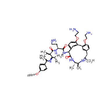 C=C(/N=C(/C)C(C(=O)N[C@@H](CCN)C(=O)N(C)C1C(=O)N[C@@H](C)C(=C)NC(C(=O)O)Cc2ccc(OCCN)c(c2)-c2cc1ccc2OCCN)=C(C)C)c1ccc(OCCCCCC)cc1